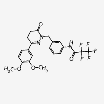 COc1ccc(C2=NN(Cc3cccc(NC(=O)C(F)(F)C(F)(F)F)c3)C(=O)CC2)cc1OC